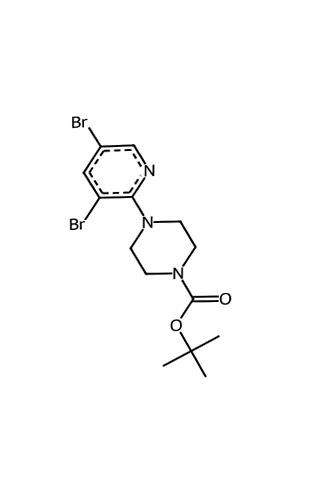 CC(C)(C)OC(=O)N1CCN(c2ncc(Br)cc2Br)CC1